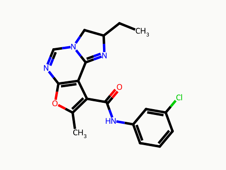 CCC1CN2C=Nc3oc(C)c(C(=O)Nc4cccc(Cl)c4)c3C2=N1